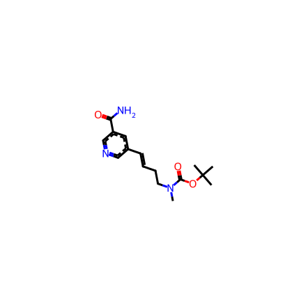 CN(CC/C=C/c1cncc(C(N)=O)c1)C(=O)OC(C)(C)C